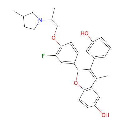 CC1=C(c2cccc(O)c2)C(c2ccc(OCC(C)N3CCC(C)C3)c(F)c2)Oc2ccc(O)cc21